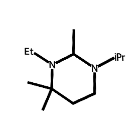 CCN1C(C)N(C(C)C)CCC1(C)C